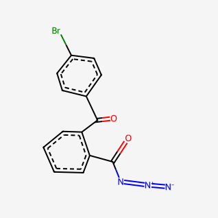 [N-]=[N+]=NC(=O)c1ccccc1C(=O)c1ccc(Br)cc1